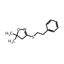 CC1(C)CC(SCCc2ccccc2)=NO1